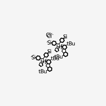 CC(C)(C)c1cc2c([c]([Hf]([C]3=CC=CC3)=[C](c3ccc([Si](C)(C)C)cc3)c3ccc([Si](C)(C)C)cc3)c1)Cc1c-2cccc1C(C)(C)C.CC(C)(C)c1cc2c([c]([Hf]([C]3=CC=CC3)=[C](c3ccc([Si](C)(C)C)cc3)c3ccc([Si](C)(C)C)cc3)c1)Cc1c-2cccc1C(C)(C)C.[Cl-].[Cl-]